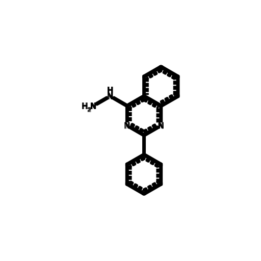 NNc1nc(-c2ccccc2)nc2ccccc12